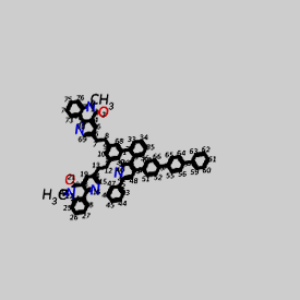 Cn1c(=O)c2cc(CCc3cc(CCc4cnc5c(c4)c(=O)n(C)c4ccccc54)cc(-c4ccccc4-c4cnc(-c5ccccc5)cc4-c4ccc(-c5ccc(-c6ccccc6)cc5)cc4)c3)cnc2c2ccccc21